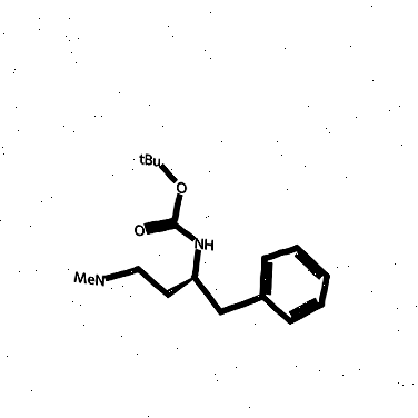 CNCC[C@H](Cc1ccccc1)NC(=O)OC(C)(C)C